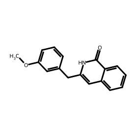 COc1cccc(Cc2cc3ccccc3c(=O)[nH]2)c1